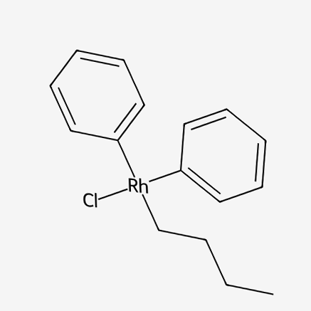 CCC[CH2][Rh]([Cl])([c]1ccccc1)[c]1ccccc1